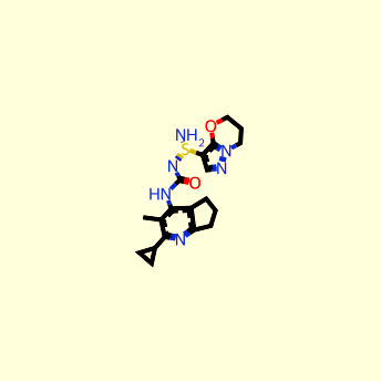 Cc1c(C2CC2)nc2c(c1NC(=O)/N=S(/N)c1cnn3c1OCCC3)CCC2